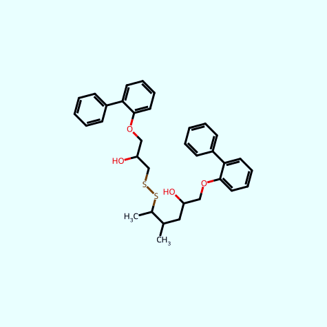 CC(CC(O)COc1ccccc1-c1ccccc1)C(C)SSCC(O)COc1ccccc1-c1ccccc1